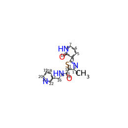 Cc1nc(-c2ccc[nH]c2=O)sc1C(=O)NCc1cccnc1